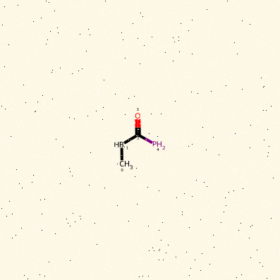 CBC(=O)P